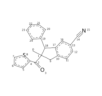 CC1(C(=O)c2cccs2)Cc2ccc(C#N)cc2C1c1ccccc1